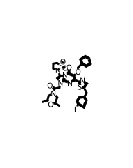 CC1CN(C(=O)Cn2cc(N3CCCS3(=O)=O)n3c(=O)c(OCc4ccccc4)c(-c4ncc(Cc5ccc(F)cc5)s4)nc23)CC(C)O1